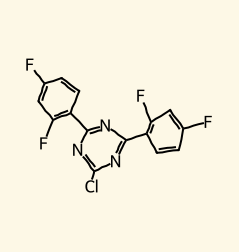 Fc1ccc(-c2nc(Cl)nc(-c3ccc(F)cc3F)n2)c(F)c1